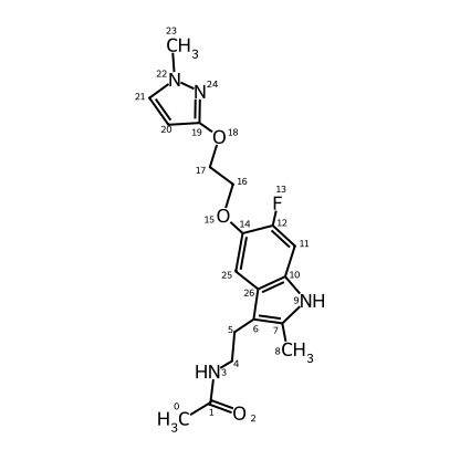 CC(=O)NCCc1c(C)[nH]c2cc(F)c(OCCOc3ccn(C)n3)cc12